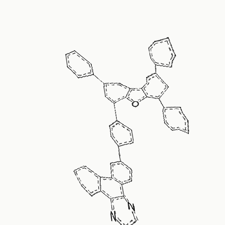 c1ccc(-c2cc(-c3ccccc3)c3oc4c(-c5ccc(-c6ccc7c(c6)c6ccccc6c6nccnc76)cc5)cc(-c5ccccc5)cc4c3c2)cc1